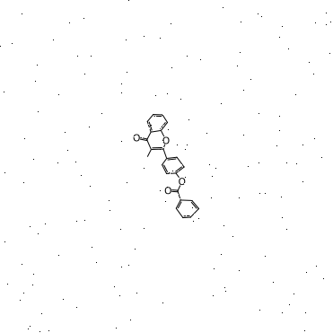 Cc1c(-c2ccc(OC(=O)c3ccccc3)cc2)oc2ccccc2c1=O